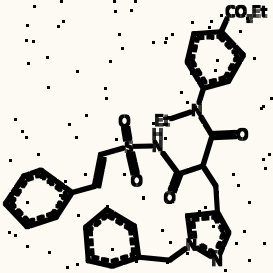 CCOC(=O)c1ccc(N(CC)C(=O)C(Cc2cnn(Cc3ccccc3)c2)C(=O)NS(=O)(=O)C=Cc2ccccc2)cc1